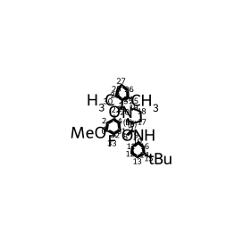 COc1ccc([C@H]2[C@@H](C(=O)Nc3cccc(C(C)(C)C)c3)CCCN2C(=O)c2c(C)cccc2C)cc1F